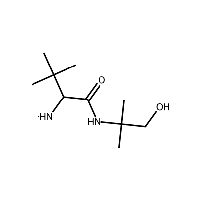 CC(C)(CO)NC(=O)C([NH])C(C)(C)C